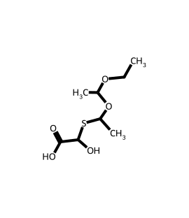 CCOC(C)OC(C)SC(O)C(=O)O